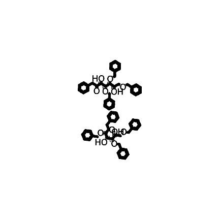 O=C(Cc1ccccc1)[C@H](O)[C@@H](OCc1ccccc1)[C@@H](OCc1ccccc1)[C@H](O)COCc1ccccc1.O=C(Cc1ccccc1)[C@H](OCc1ccccc1)[C@@H](O)[C@@H](OCc1ccccc1)[C@H](O)COCc1ccccc1